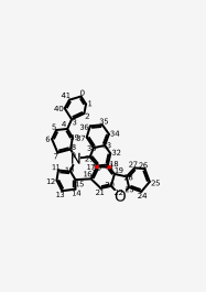 c1ccc(-c2cccc(N(c3ccccc3-c3ccc4c(c3)oc3ccccc34)c3cccc4ccccc34)c2)cc1